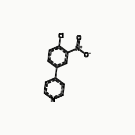 O=[N+]([O-])c1cc(-c2ccncc2)ccc1Cl